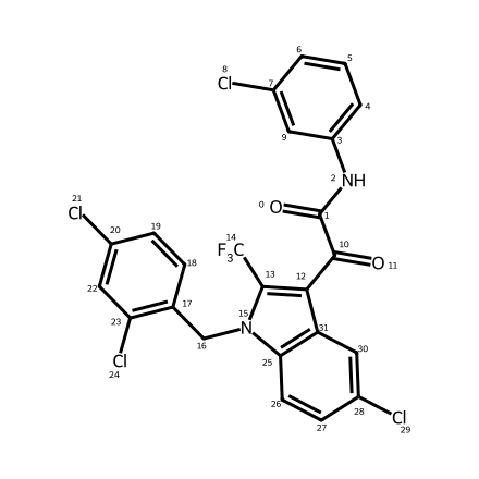 O=C(Nc1cccc(Cl)c1)C(=O)c1c(C(F)(F)F)n(Cc2ccc(Cl)cc2Cl)c2ccc(Cl)cc12